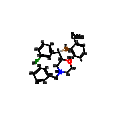 COc1ccccc1S[C@@H](c1cccc(F)c1)C1CN(Cc2ccccc2)CCO1